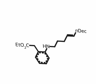 CCCCCCCCCCC=CCCCNc1ccccc1CC(=O)OCC